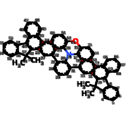 CC1(C)c2ccccc2-c2c1cc(-c1ccc3c(c1)N(c1c(-c4ccccc4)cccc1-c1ccccc1)c1cc(-c4cc5c(c6ccccc46)-c4ccccc4C5(C)C)ccc1O3)c1ccccc21